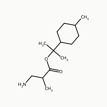 CC1CCC(C(C)(C)OC(=O)C(C)CN)CC1